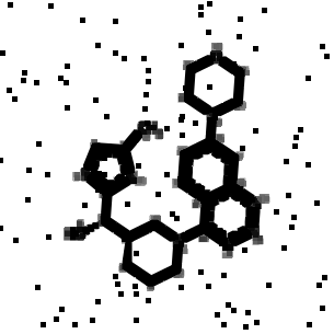 Cc1csc([C@@H](O)[C@@H]2CCCN(c3nnnc4cc(N5CCOCC5)ccc34)C2)n1